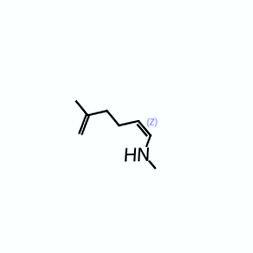 C=C(C)CC/C=C\NC